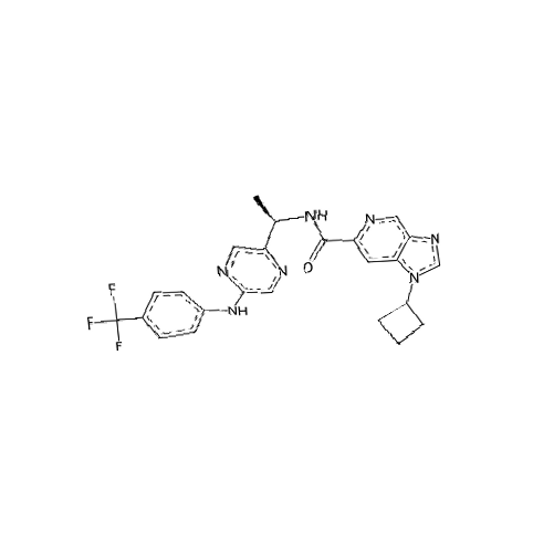 C[C@@H](NC(=O)c1cc2c(cn1)ncn2C1CCC1)c1cnc(Nc2ccc(C(F)(F)F)cc2)cn1